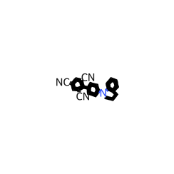 N#Cc1cc(C#N)c(-c2ccc(N3CCCc4ccccc43)cc2)c(C#N)c1